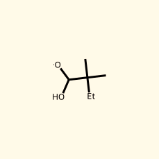 CCC(C)(C)C([O])O